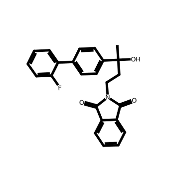 CC(O)(CCN1C(=O)c2ccccc2C1=O)c1ccc(-c2ccccc2F)cc1